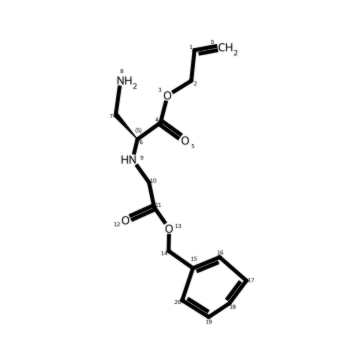 C=CCOC(=O)[C@H](CN)NCC(=O)OCc1ccccc1